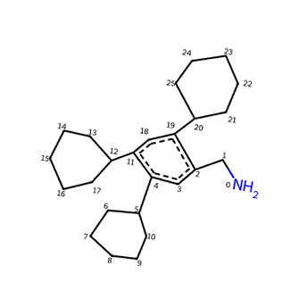 NCc1cc(C2CCCCC2)c(C2CCCCC2)cc1C1CCCCC1